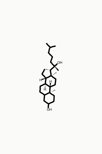 CC(C)CCC[C@](C)(O)[C@H]1CC[C@H]2[C@@H]3CCC4CC(O)CC[C@]4(C)[C@H]3CC[C@@]21C